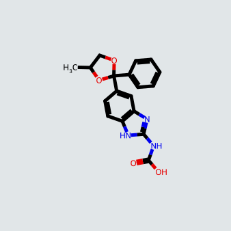 CC1COC(c2ccccc2)(c2ccc3[nH]c(NC(=O)O)nc3c2)O1